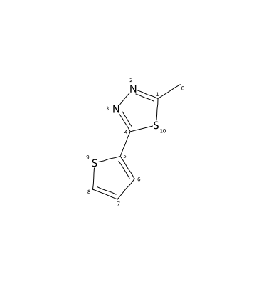 Cc1nnc(-c2cccs2)s1